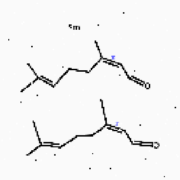 CC(C)=CCC/C(C)=C\C=O.CC(C)=CCC/C(C)=C\C=O.[Sm]